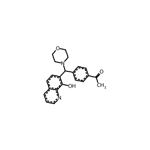 CC(=O)c1ccc(C(c2ccc3cccnc3c2O)N2CCOCC2)cc1